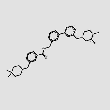 C[C@H]1CN(Cc2cccc(-c3cccc(CNC(=O)c4cccc(CC5CC[N+](C)(C)CC5)c4)c3)c2)CCN1C